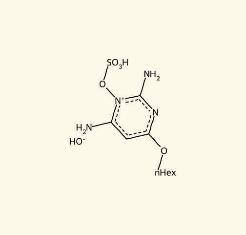 CCCCCCOc1cc(N)[n+](OS(=O)(=O)O)c(N)n1.[OH-]